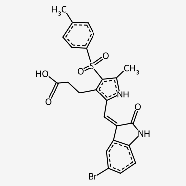 Cc1ccc(S(=O)(=O)c2c(C)[nH]c(/C=C3\C(=O)Nc4ccc(Br)cc43)c2CCC(=O)O)cc1